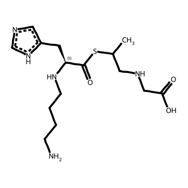 CC(CNCC(=O)O)SC(=O)[C@H](Cc1cnc[nH]1)NCCCCN